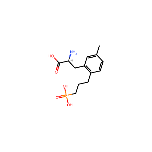 Cc1ccc(CCCP(=O)(O)O)c(C[C@H](N)C(=O)O)c1